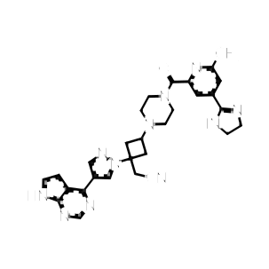 N#CCC1(n2cc(-c3ncnc4[nH]ccc34)cn2)CC(N2CCN(C(=O)c3cc(C4=NCCN4)cc(C(F)(F)F)n3)CC2)C1